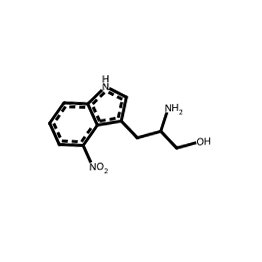 NC(CO)Cc1c[nH]c2cccc([N+](=O)[O-])c12